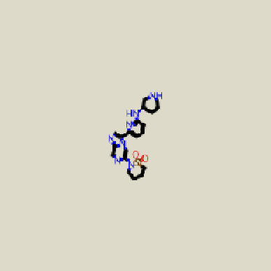 O=S1(=O)CCCCN1c1cn2c(-c3cccc(N[C@@H]4CCCNC4)n3)cnc2cn1